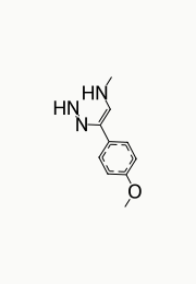 CN/C=C(\N=N)c1ccc(OC)cc1